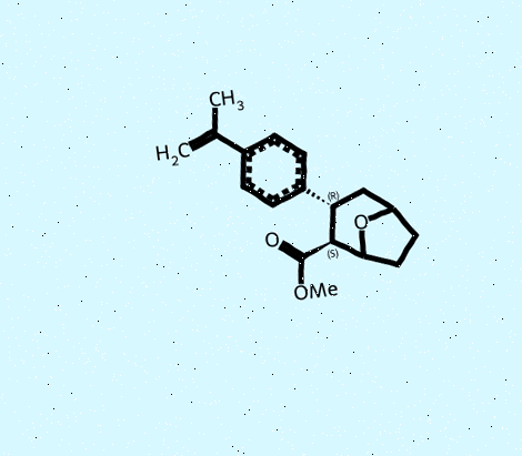 C=C(C)c1ccc([C@@H]2CC3CCC(O3)[C@H]2C(=O)OC)cc1